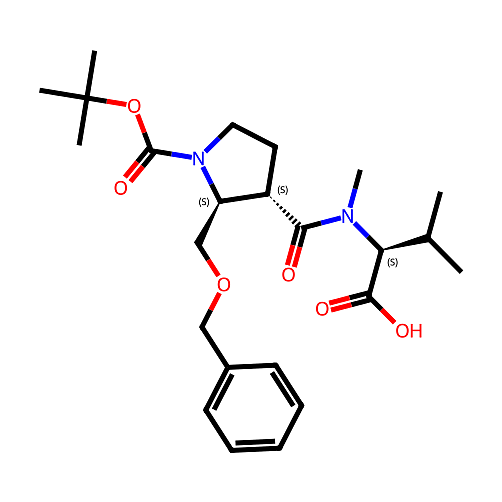 CC(C)[C@@H](C(=O)O)N(C)C(=O)[C@H]1CCN(C(=O)OC(C)(C)C)[C@@H]1COCc1ccccc1